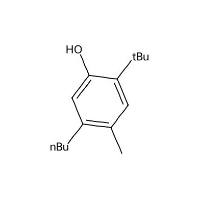 CCCCc1cc(O)c(C(C)(C)C)cc1C